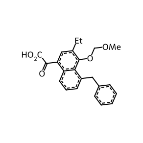 CCc1cc(C(=O)C(=O)O)c2cccc(Cc3ccccc3)c2c1OCOC